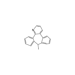 IC1c2ccccc2-c2cccnc2-c2ccccc21